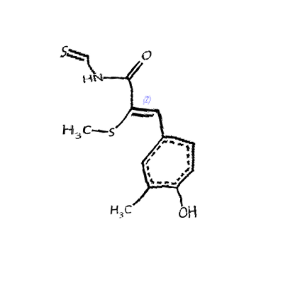 CS/C(=C\c1ccc(O)c(C)c1)C(=O)NC=S